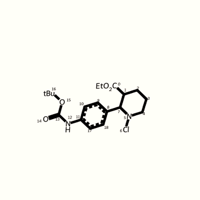 CCOC(=O)C1CCCN(Cl)C1c1ccc(NC(=O)OC(C)(C)C)cc1